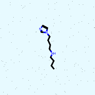 CCCCNCCCCn1ccnc1